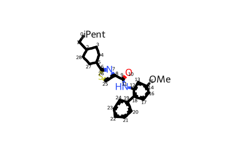 CCCC(C)CC1CCC(c2nc(C(=O)Nc3cc(OC)ccc3-c3ccccc3)cs2)CC1